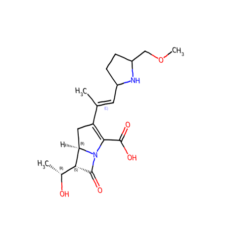 COCC1CCC(/C=C(\C)C2=C(C(=O)O)N3C(=O)[C@H]([C@@H](C)O)[C@H]3C2)N1